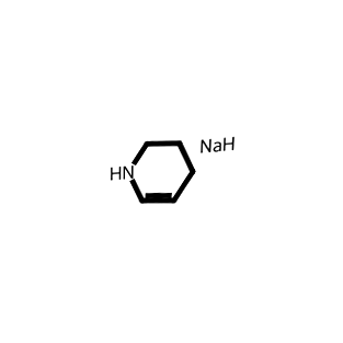 C1=CNCCC1.[NaH]